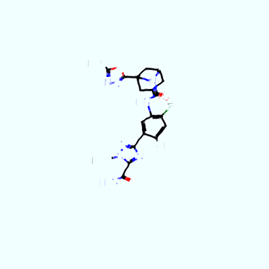 Cc1nnc(C23CC(C)CC(C2)N3C(=O)Nc2cc(-c3nc(C(N)=O)n(C)n3)c(C(F)(F)F)cc2F)o1